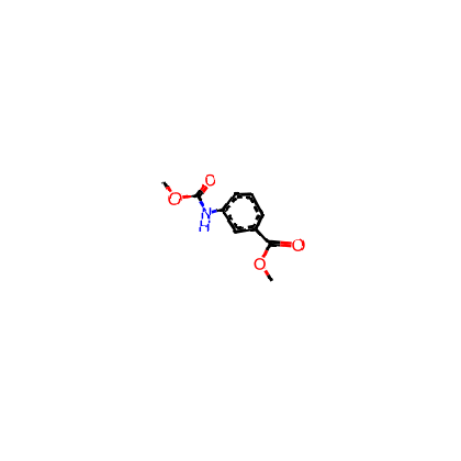 COC(=O)Nc1cccc(C(=O)OC)c1